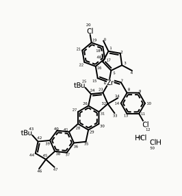 CC1=CC(C)[C]([Zr](=[CH]c2ccc(Cl)cc2)(=[CH]c2ccc(Cl)cc2)[C]2=C(C(C)(C)C)c3cc4c(cc3C2(C)C)Cc2cc3c(cc2-4)C(C(C)(C)C)=CC3(C)C)=C1.Cl.Cl